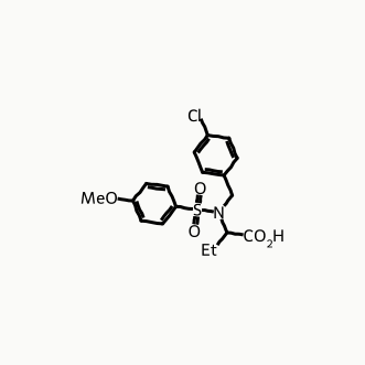 CCC(C(=O)O)N(Cc1ccc(Cl)cc1)S(=O)(=O)c1ccc(OC)cc1